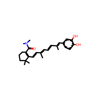 CC(/C=C/C1=C(C(=O)N(C)C)CCCC1(C)C)=C\C=C\C(C)=C\c1ccc(O)c(O)c1